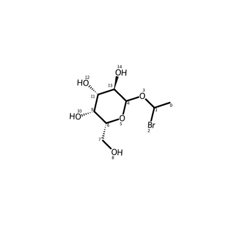 CC(Br)OC1O[C@H](CO)[C@H](O)[C@H](O)[C@H]1O